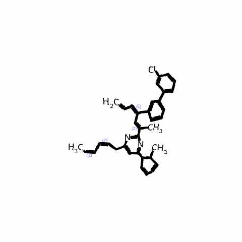 C=C/C=C(\C=C(/C)c1nc(C/C=C\C=C/C)cc(C2C=CC=CC2C)n1)c1cccc(-c2cccc(Cl)c2)c1